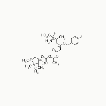 CCC1(C)[C@@H](OC(=O)OC(C)OC(=O)C[C@@H](CC(C)[C@](N)(F)C(=O)O)OCc2ccc(F)cc2)C[C@@H](C)C1(C)C